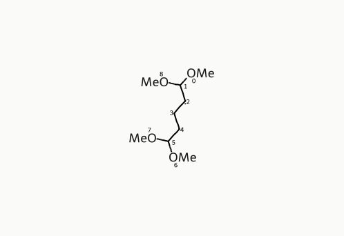 COC([CH]CCC(OC)OC)OC